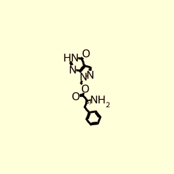 N[C@@H](Cc1ccccc1)C(=O)OCn1ncc2c(=O)[nH]cnc21